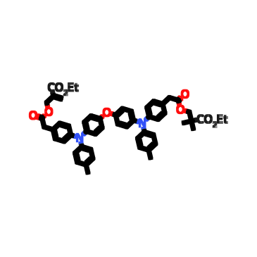 C=C(COC(=O)Cc1ccc(N(c2ccc(C)cc2)c2ccc(Oc3ccc(N(c4ccc(C)cc4)c4ccc(CC(=O)OCC(C)(C)C(=O)OCC)cc4)cc3)cc2)cc1)C(=O)OCC